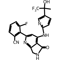 CC(O)(c1ccc(Nc2cc(-c3c(F)cccc3C#N)nc3c2C(=O)NC3)nc1)C(F)(F)F